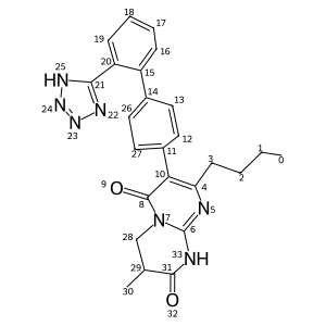 CCCCc1nc2n(c(=O)c1-c1ccc(-c3ccccc3-c3nnn[nH]3)cc1)CC(C)C(=O)N2